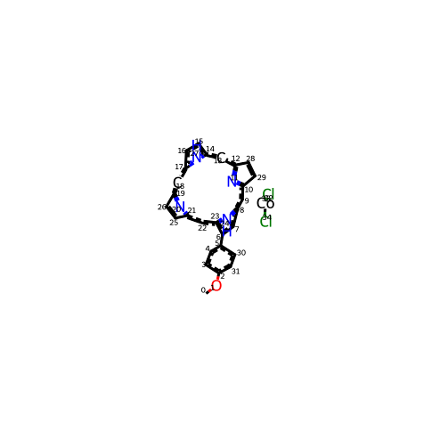 COc1ccc(-c2cc3cc4nc(cc5ccc(cc6nc(cc2[nH]3)C=C6)[nH]5)C=C4)cc1.[Cl][Co][Cl]